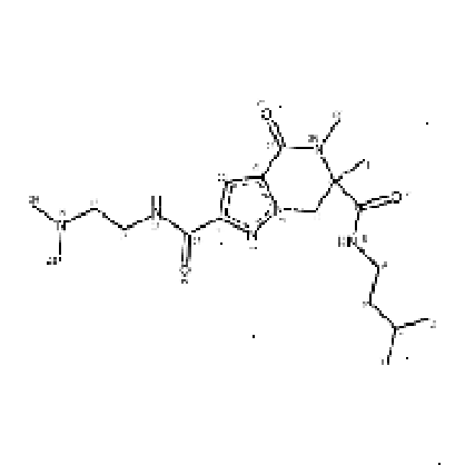 CC(C)CCNC(=O)C1(C)Cn2nc(C(=O)NCCN(C)C)cc2C(=O)N1C